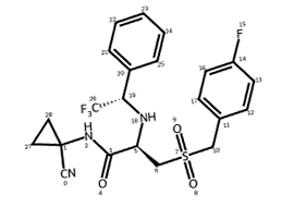 N#CC1(NC(=O)[C@H](CS(=O)(=O)Cc2ccc(F)cc2)N[C@@H](c2ccccc2)C(F)(F)F)CC1